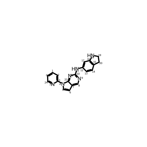 c1ccc(-n2ccc3cnc(Nc4ccc5c(c4)NCC5)nc32)nc1